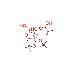 C=C(C)C(=O)O.CCC([SiH](O[Si](C)(C)C)O[Si](C)(C)C)C(C)(O)C(O)CO